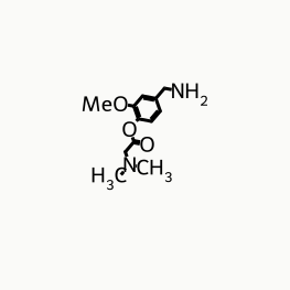 COc1cc(CN)ccc1OC(=O)CN(C)C